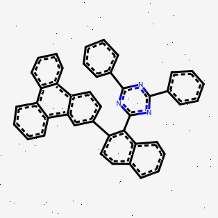 c1ccc(-c2nc(-c3ccccc3)nc(-c3c(-c4ccc5c6ccccc6c6ccccc6c5c4)ccc4ccccc34)n2)cc1